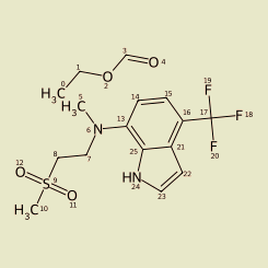 CCOC=O.CN(CCS(C)(=O)=O)c1ccc(C(F)(F)F)c2cc[nH]c12